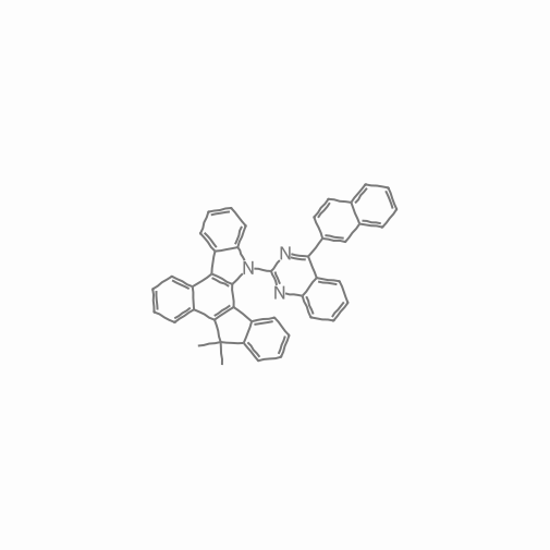 CC1(C)c2ccccc2-c2c1c1ccccc1c1c3ccccc3n(-c3nc(-c4ccc5ccccc5c4)c4ccccc4n3)c21